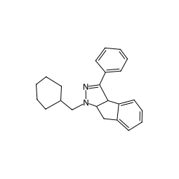 c1ccc(C2=NN(CC3CCCCC3)C3Cc4ccccc4C23)cc1